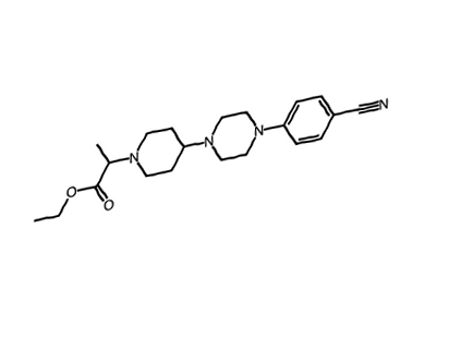 CCOC(=O)C(C)N1CCC(N2CCN(c3ccc(C#N)cc3)CC2)CC1